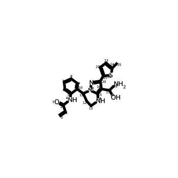 C=CC(=O)Nc1ccccc1C1CCNc2c(C(N)O)c(-c3ccc(C)s3)nn21